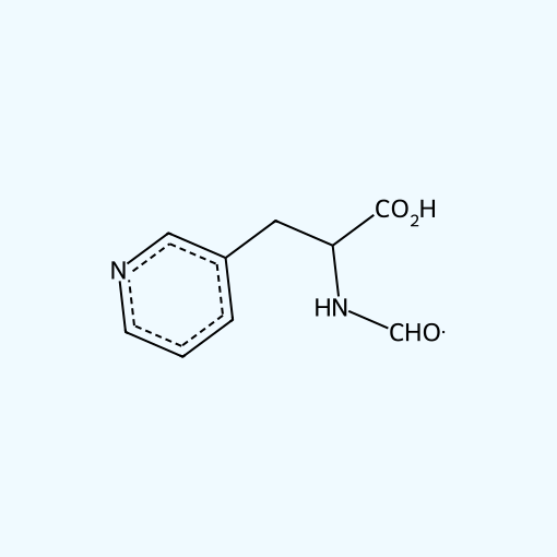 O=[C]NC(Cc1cccnc1)C(=O)O